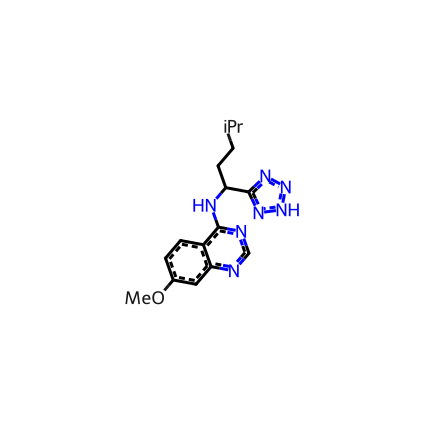 COc1ccc2c(NC(CCC(C)C)c3nn[nH]n3)ncnc2c1